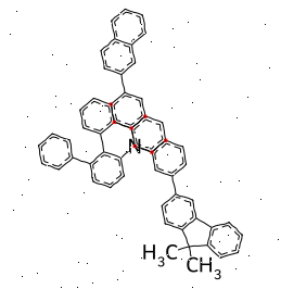 CC1(C)c2ccccc2-c2cc(-c3cccc(N(c4ccc(-c5ccc6ccccc6c5)cc4)c4cccc(-c5ccccc5)c4-c4ccccc4-c4ccccc4)c3)ccc21